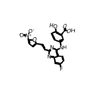 O=C(O)c1cc(Nc2nc(/C=C/c3ccc([N+](=O)[O-])o3)nc3cc(F)ccc23)ccc1O